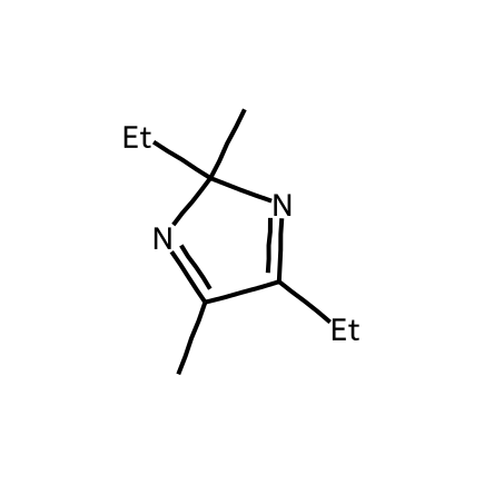 CCC1=NC(C)(CC)N=C1C